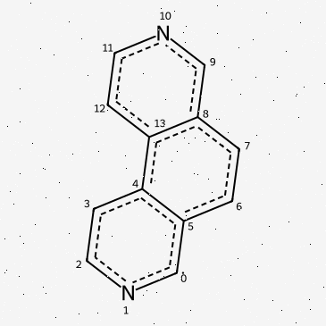 [c]1nccc2c1ccc1cnccc12